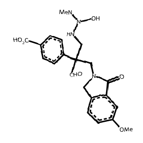 CNN(O)NCC(C=O)(CN1Cc2ccc(OC)cc2C1=O)c1ccc(C(=O)O)cc1